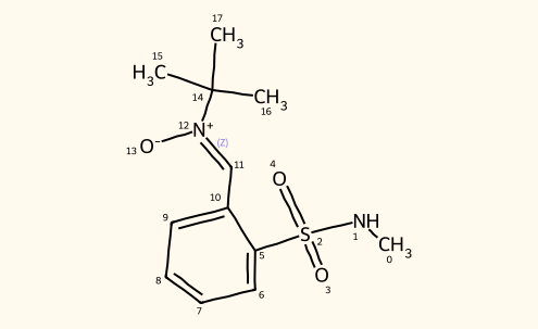 CNS(=O)(=O)c1ccccc1/C=[N+](\[O-])C(C)(C)C